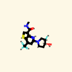 CNC(=O)c1csc2c(C(F)(F)F)cc(N3CC[C@@H](O)[C@H](F)C3)nc12